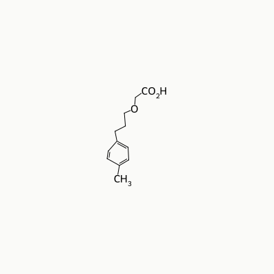 Cc1ccc(CCCOCC(=O)O)cc1